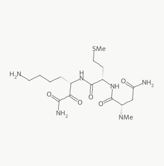 CN[C@@H](CC(N)=O)C(=O)N[C@@H](CCSC)C(=O)N[C@@H](CCCCN)C(=O)C(N)=O